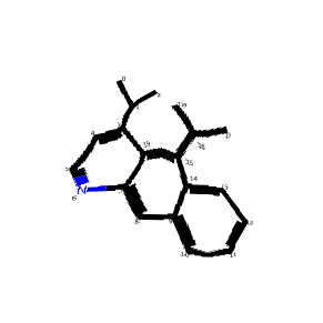 CC(C)c1ccnc2cc3ccccc3c(C(C)C)c12